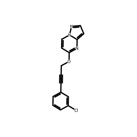 Clc1cccc(C#CCOc2ccn3nccc3n2)c1